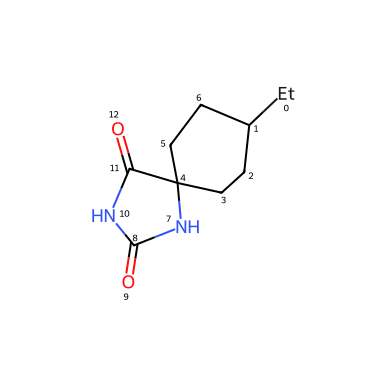 CCC1CCC2(CC1)NC(=O)NC2=O